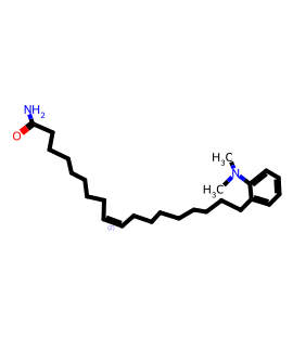 CN(C)c1ccccc1CCCCCCCC/C=C\CCCCCCCC(N)=O